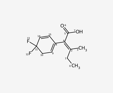 CCC(C)=C(C(=O)O)C1=CCC(F)(F)C=C1